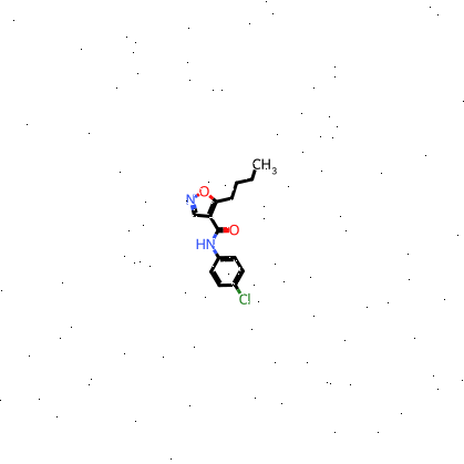 CCCCc1oncc1C(=O)Nc1ccc(Cl)cc1